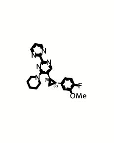 COc1cc([C@@H]2C[C@H]2c2cnc(-c3ncccn3)nc2N2CCCCC2)ccc1F